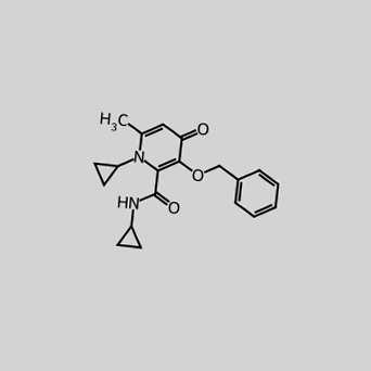 Cc1cc(=O)c(OCc2ccccc2)c(C(=O)NC2CC2)n1C1CC1